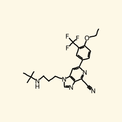 CCOc1ccc(-c2cc3c(ncn3CCCNC(C)(C)C)c(C#N)n2)cc1C(F)(F)F